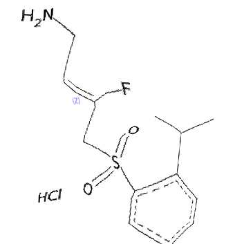 CC(C)c1ccccc1S(=O)(=O)C/C(F)=C/CN.Cl